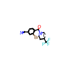 N#Cc1ccc(C(=O)N2CCC(C(F)(F)F)CC2)c(Br)c1